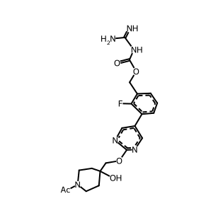 CC(=O)N1CCC(O)(COc2ncc(-c3cccc(COC(=O)NC(=N)N)c3F)cn2)CC1